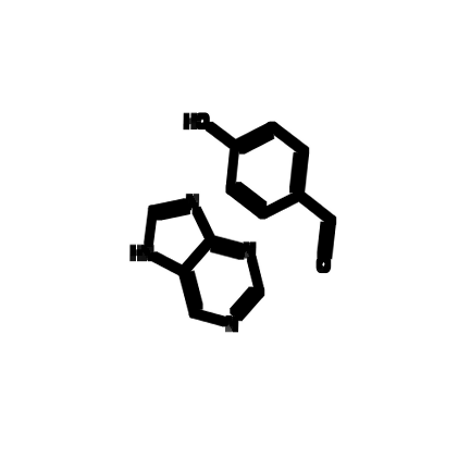 O=Cc1ccc(O)cc1.c1ncc2[nH]cnc2n1